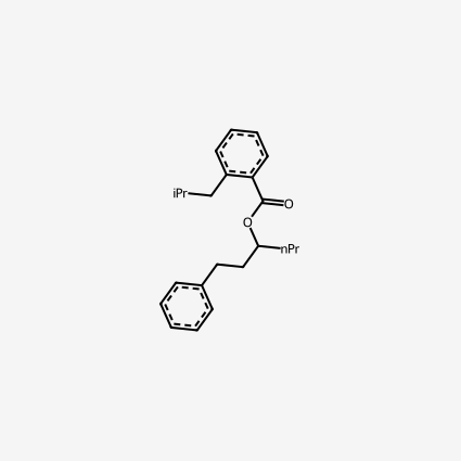 CCCC(CCc1ccccc1)OC(=O)c1ccccc1CC(C)C